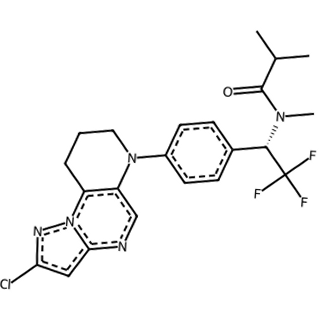 CC(C)C(=O)N(C)[C@@H](c1ccc(N2CCCc3c2cnc2cc(Cl)nn32)cc1)C(F)(F)F